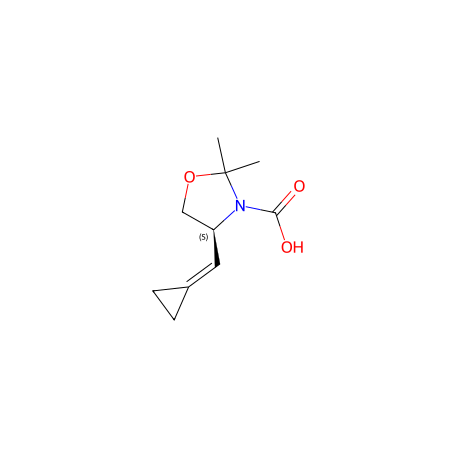 CC1(C)OC[C@H](C=C2CC2)N1C(=O)O